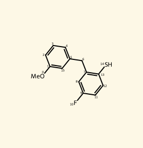 COc1cccc(Cc2cc(F)ccc2S)c1